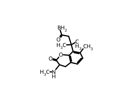 BC(=O)CC(C)(C)c1c(C)ccc2c1OC(=O)C(NC)C2